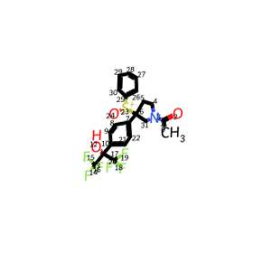 CC(=O)N1CCC(c2ccc(C(O)(C(F)(F)F)C(F)(F)F)cc2)([S+]([O-])c2ccccc2)C1